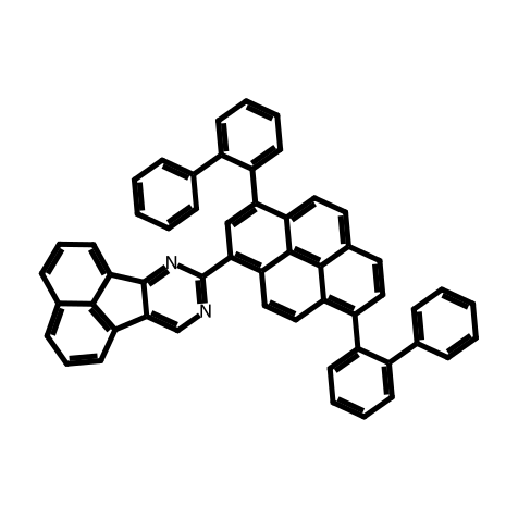 c1ccc(-c2ccccc2-c2ccc3ccc4c(-c5ccccc5-c5ccccc5)cc(-c5ncc6c(n5)-c5cccc7cccc-6c57)c5ccc2c3c54)cc1